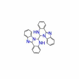 c1ccc2c(c1)NC(C1Nc3ccccc3-c3nc4ccccc4n31)n1c-2nc2ccccc21